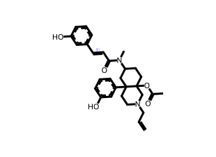 C=CCN1CCC2(c3cccc(O)c3)CC(N(C)C(=O)/C=C/c3cccc(O)c3)CCC2(OC(C)=O)C1